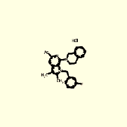 CC(=O)c1cc2c(C)c(C)n(Cc3cccc(F)c3)c2c(N2CCc3ccccc3C2)n1.Cl